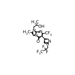 Cc1cn2c(=O)c(-c3cnn(CC(F)(F)C(F)(F)F)c3)c(C(F)(F)F)nc2n1CC(C)O